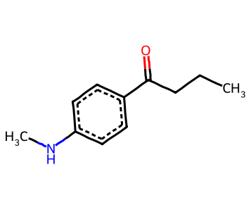 CCCC(=O)c1ccc(NC)cc1